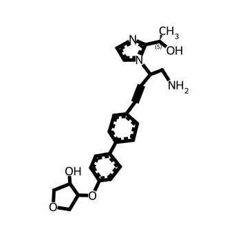 C[C@H](O)c1nccn1C(C#Cc1ccc(-c2ccc(OC3COCC3O)cc2)cc1)CN